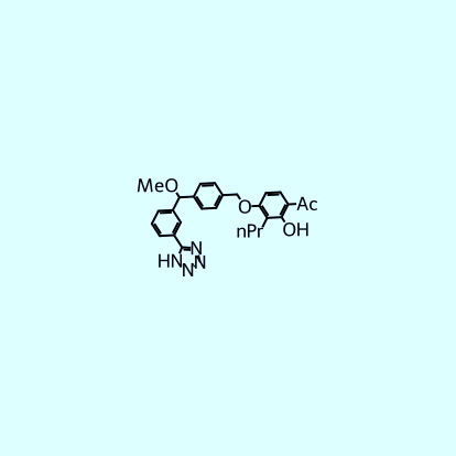 CCCc1c(OCc2ccc(C(OC)c3cccc(-c4nnn[nH]4)c3)cc2)ccc(C(C)=O)c1O